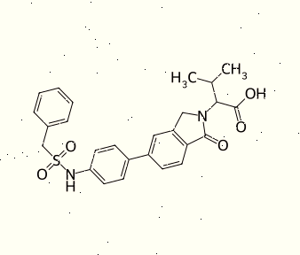 CC(C)C(C(=O)O)N1Cc2cc(-c3ccc(NS(=O)(=O)Cc4ccccc4)cc3)ccc2C1=O